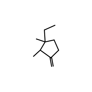 C=C1CCC(C)(CC)C1C